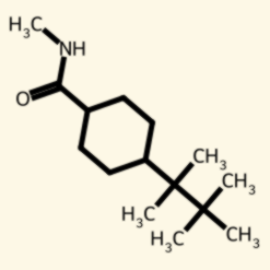 CNC(=O)C1CCC(C(C)(C)C(C)(C)C)CC1